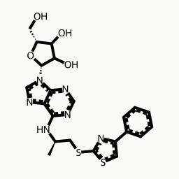 C[C@H](CSc1nc(-c2ccccc2)cs1)Nc1ncnc2c1ncn2[C@@H]1O[C@H](CO)C(O)C1O